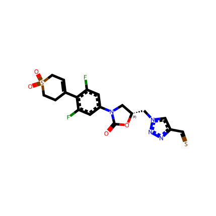 O=C1O[C@@H](Cn2cc(C=S)nn2)CN1c1cc(F)c(C2=CCS(=O)(=O)CC2)c(F)c1